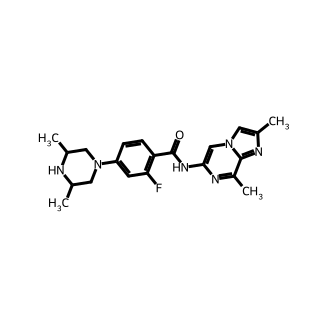 Cc1cn2cc(NC(=O)c3ccc(N4CC(C)NC(C)C4)cc3F)nc(C)c2n1